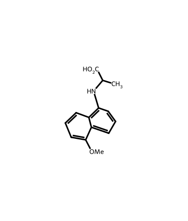 COc1cccc2c(NC(C)C(=O)O)cccc12